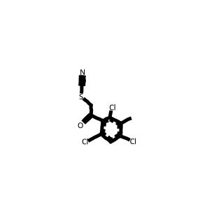 Cc1c(Cl)cc(Cl)c(C(=O)CSC#N)c1Cl